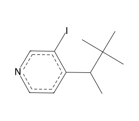 CC(c1ccncc1I)C(C)(C)C